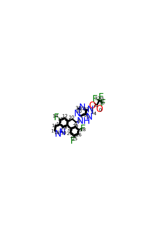 O=C(On1cnc2c(NCCc3cc(F)c4ccnnc4c3-c3cc(F)cc(F)c3)ncnc21)C(F)(F)F